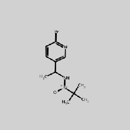 CC(N[S@+]([O-])C(C)(C)C)c1ccc(Br)nc1